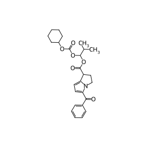 CC(C)C(OC(=O)OC1CCCCC1)OC(=O)C1CCn2c(C(=O)c3ccccc3)ccc21